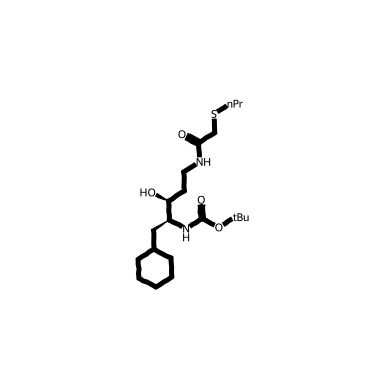 CCCSCC(=O)NCC[C@H](O)[C@H](CC1CCCCC1)NC(=O)OC(C)(C)C